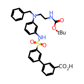 CC(C)(C)OC(=O)NCCN(Cc1ccccc1)c1cccc(NS(=O)(=O)c2cccc(-c3cccc(C(=O)O)c3)c2)c1